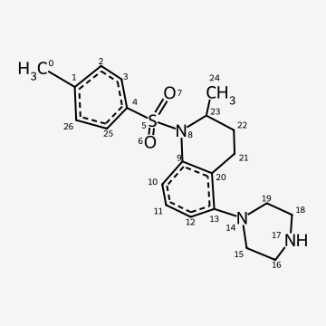 Cc1ccc(S(=O)(=O)N2c3cccc(N4CCNCC4)c3CCC2C)cc1